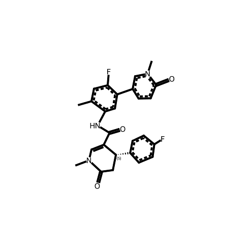 Cc1cc(F)c(-c2ccc(=O)n(C)c2)cc1NC(=O)C1=CN(C)C(=O)C[C@H]1c1ccc(F)cc1